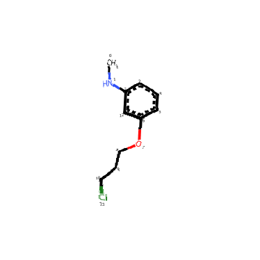 CNc1cccc(OCCCCl)c1